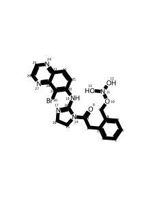 O=C(Cc1ccccc1CON(O)O)N1CCN=C1Nc1ccc2nccnc2c1Br